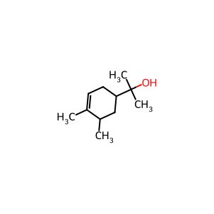 CC1=CCC(C(C)(C)O)CC1C